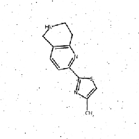 Cc1csc(-c2ccc3c(n2)CCNC3)n1